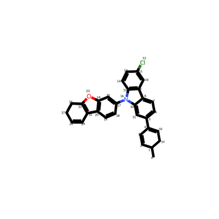 CC1C=CC(c2ccc3c4cc(Cl)ccc4n(-c4ccc5c6c(oc5c4)CCC=C6)c3c2)=CC1